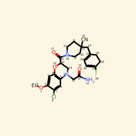 CCOc1cc2c(cc1Cl)N(CC(N)=O)CC(C(=O)N1CCC(C#N)(CC3=CC=C(F)CC3)CC1)O2